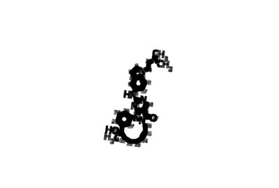 CN(C)CCn1ccc2cc(Nc3ncc4c(=O)n5n(c4n3)-c3cccc(c3)C(C)(O)CCC/C=C\C5)ccc21